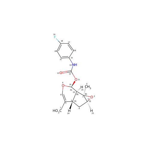 C[C@]12O[C@H]1C[C@@H]1C(C(=O)O)=CO[C@@H](OC(=O)Nc3ccc(F)cc3)[C@H]12